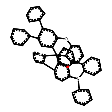 c1ccc(-c2cc3c(cc2-c2ccccc2)C2(c4ccccc4O3)c3ccccc3-c3ccc(N(c4ccccc4)c4ccccc4-c4ccccc4)cc32)cc1